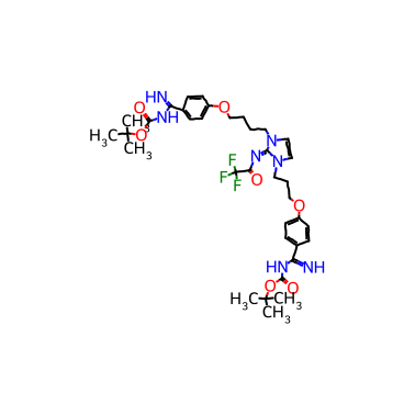 CC(C)(C)OC(=O)NC(=N)c1ccc(OCCCCn2ccn(CCCOc3ccc(C(=N)NC(=O)OC(C)(C)C)cc3)c2=NC(=O)C(F)(F)F)cc1